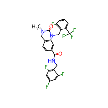 CN1Cc2ccc(C(=O)NCc3c(F)cc(F)cc3F)cc2N(Cc2c(F)cccc2C(F)(F)F)C1=O